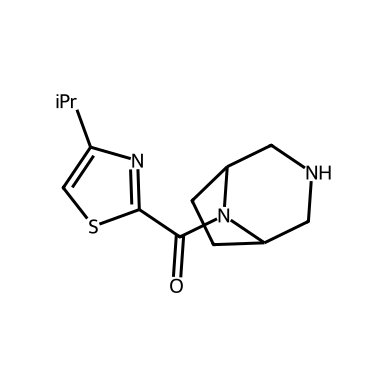 CC(C)c1csc(C(=O)N2C3CCC2CNC3)n1